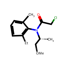 CCc1cccc(C)c1N(C(=O)CCl)[C@H](C)COC